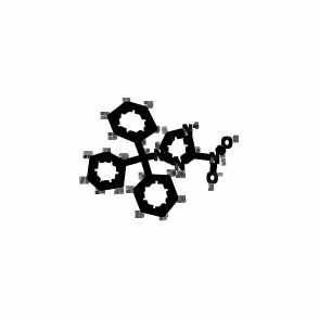 O=[N+]([O-])c1ncn(C(c2ccccc2)(c2ccccc2)c2ccccc2)n1